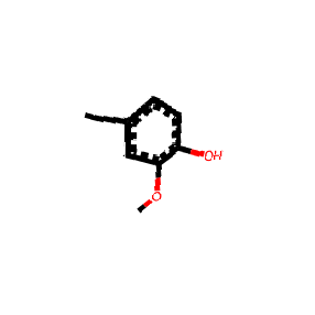 COc1[c]c(C)ccc1O